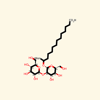 CCCCCCCCCC(CCCCCCCCCCCC(=O)O)O[C@@H]1O[C@H](CO)[C@@H](O)[C@H](O)[C@H]1O[C@@H]1O[C@H](CO)[C@@H](O)[C@H](O)[C@H]1O